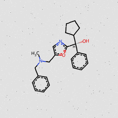 CN(Cc1ccccc1)Cc1cnc([C@](O)(c2ccccc2)C2CCCC2)o1